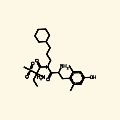 CCC(N)(C(=O)N(CCCC1CCCCC1)C(=O)[C@@H](N)Cc1c(C)cc(O)cc1C)S(C)(=O)=O